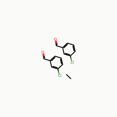 CC.O=Cc1cccc(Cl)c1.O=Cc1cccc(Cl)c1